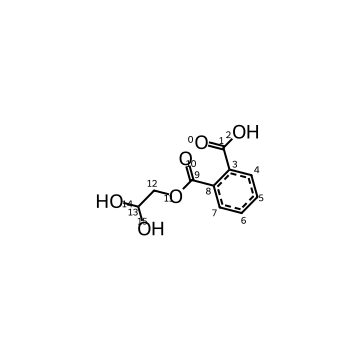 O=C(O)c1ccccc1C(=O)OCC(O)O